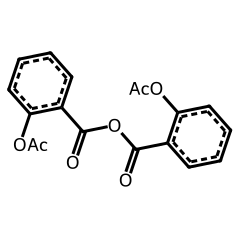 CC(=O)Oc1ccccc1C(=O)OC(=O)c1ccccc1OC(C)=O